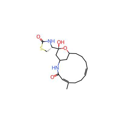 C/C1=C/C(=O)NC2CC(CCC/C=C\CC1)O[C@@](O)([C@@H]1CSC(=O)N1)C2